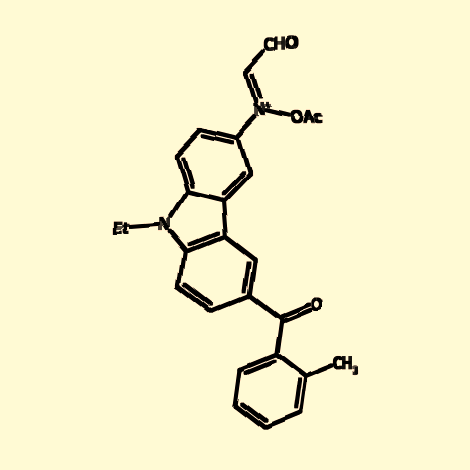 CCn1c2ccc(C(=O)c3ccccc3C)cc2c2cc([N+](=CC=O)OC(C)=O)ccc21